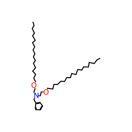 CCCCCCCCCCCCCCCCCCOCCN(CCOCCCCCCCCCCCCCCCCCC)Cc1ccccc1